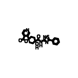 O=C1O[C@]2(CC[C@](O)(C(=O)Nc3nsc(-c4ccccc4)n3)CC2)c2cnccc21